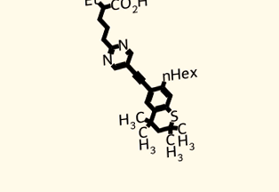 CCCCCCc1cc2c(cc1C#Cc1cnc(CCCC(CC)C(=O)O)nc1)C(C)(C)CC(C)(C)S2